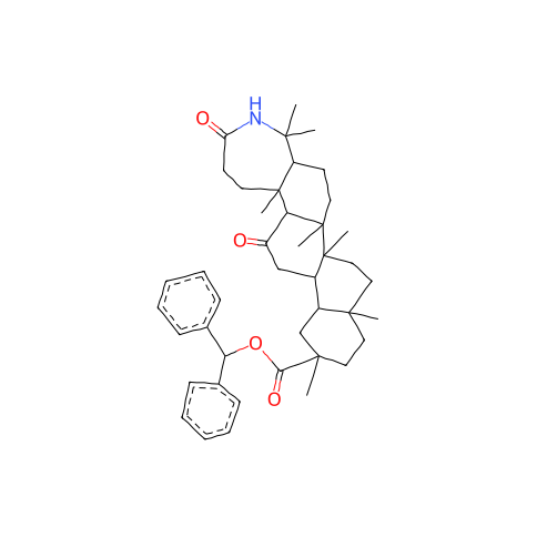 CC1(C(=O)OC(c2ccccc2)c2ccccc2)CCC2(C)CCC3(C)C(CC(=O)C4C5(C)CCC(=O)NC(C)(C)C5CCC43C)C2C1